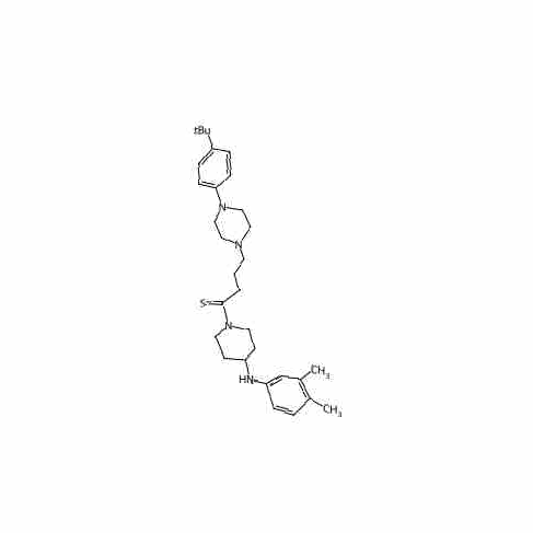 Cc1ccc(NC2CCN(C(=S)CCCN3CCN(c4ccc(C(C)(C)C)cc4)CC3)CC2)cc1C